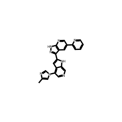 Cc1cn(-c2cncc3[nH]c(-c4n[nH]c5ncc(-c6ccccn6)cc45)cc23)cn1